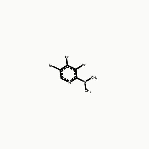 CN(C)c1ncc(Br)c(Br)c1Br